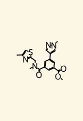 COC(=O)c1cc(C(=O)N(C)Cc2nc(C)cs2)cc(-c2cnn(C)c2)c1